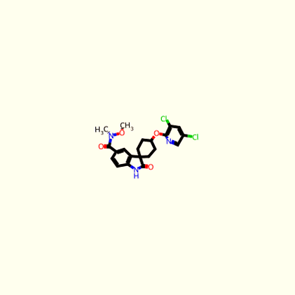 CON(C)C(=O)c1ccc2c(c1)C1(CCC(Oc3ncc(Cl)cc3Cl)CC1)C(=O)N2